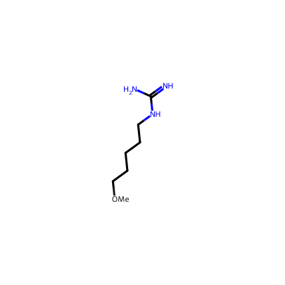 COCCCCCNC(=N)N